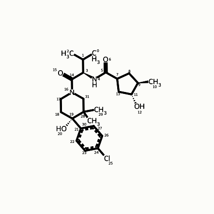 CC(C)[C@@H](NC(=O)C1C[C@@H](C)[C@H](O)C1)C(=O)N1CC[C@](O)(c2ccc(Cl)cc2)C(C)(C)C1